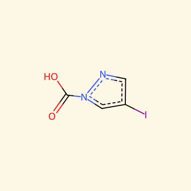 O=C(O)n1cc(I)cn1